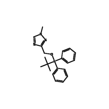 Cn1cnc(CO[Si](c2ccccc2)(c2ccccc2)C(C)(C)C)n1